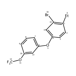 CCc1ccc(Oc2cccc(OC(F)(F)F)c2)cc1Br